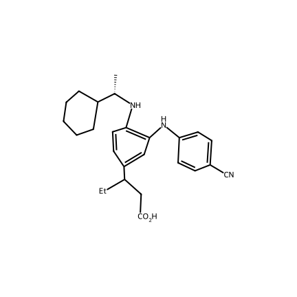 CCC(CC(=O)O)c1ccc(N[C@@H](C)C2CCCCC2)c(Nc2ccc(C#N)cc2)c1